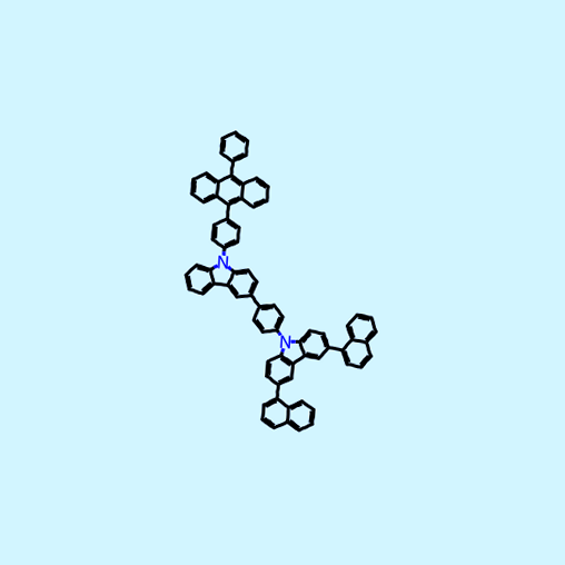 c1ccc(-c2c3ccccc3c(-c3ccc(-n4c5ccccc5c5cc(-c6ccc(-n7c8ccc(-c9cccc%10ccccc9%10)cc8c8cc(-c9cccc%10ccccc9%10)ccc87)cc6)ccc54)cc3)c3ccccc23)cc1